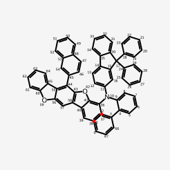 c1ccc(-c2ccccc2N(c2ccc3c(c2)C(c2ccccc2)(c2ccccc2)c2ccccc2-3)c2cccc3c2oc2c(-c4ccc5ccccc5c4)c4c(cc23)oc2ccccc24)cc1